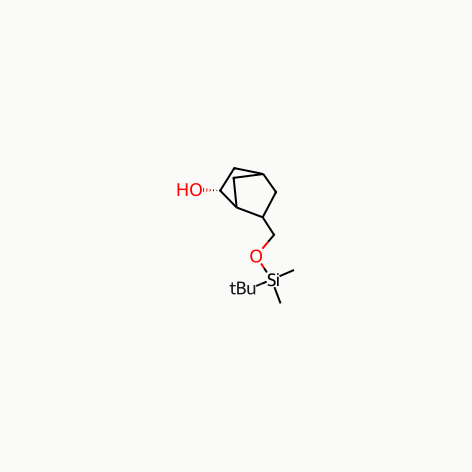 CC(C)(C)[Si](C)(C)OCC1CC2CC1[C@H](O)C2